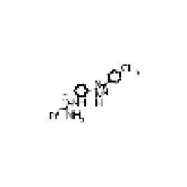 Cc1ccc(-c2n[nH]c(-c3cccc(NC(=O)[C@@H](N)CC(C)C)c3)n2)cc1